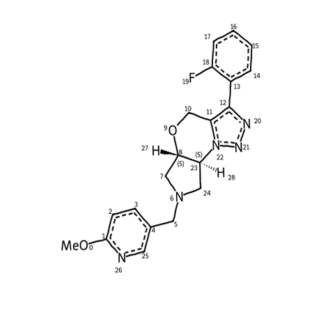 COc1ccc(CN2C[C@@H]3OCc4c(-c5ccccc5F)nnn4[C@H]3C2)cn1